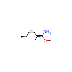 C=C/C=C\C(C)=C(/N)OC